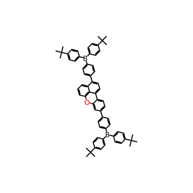 CC(C)(C)c1ccc(B(c2ccc(-c3ccc4c(c3)Oc3cccc5c(-c6ccc(B(c7ccc(C(C)(C)C)cc7)c7ccc(C(C)(C)C)cc7)cc6)ccc-4c35)cc2)c2ccc(C(C)(C)C)cc2)cc1